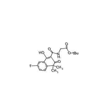 CC(C)(C)OC(=O)CNC(=O)C1=C(O)c2cc(F)ccc2C(C)(C)C1=O